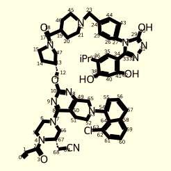 C=CC(=O)N1CCN(c2nc(OC[C@@H]3CCN(C(=O)C4CCN(Cc5ccc(-n6c(O)nnc6-c6cc(C(C)C)c(O)cc6O)cc5)CC4)C3)nc3c2CCN(c2cccc4cccc(Cl)c24)C3)C[C@@H]1CC#N